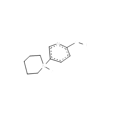 COc1ccc([N+]2([O-])CCCCC2)cn1